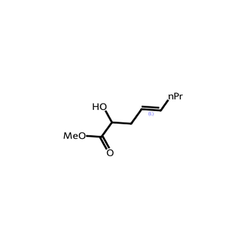 CCC/C=C/CC(O)C(=O)OC